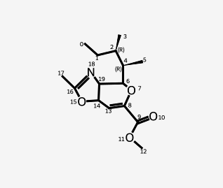 CC[C@@H](C)[C@@H](C)C1OC(C(=O)OC)=CC2OC(C)=NC21